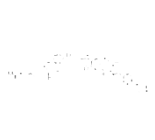 COc1cc2c(cc1OCCCOc1cc3c(cc1OC)C(=O)N1C=C(c4ccc(N5CCN(C)CC5)cc4)C[C@H]1C=N3)N=C[C@@H]1CC(C=CCNC(=O)O)=CN1C2=O